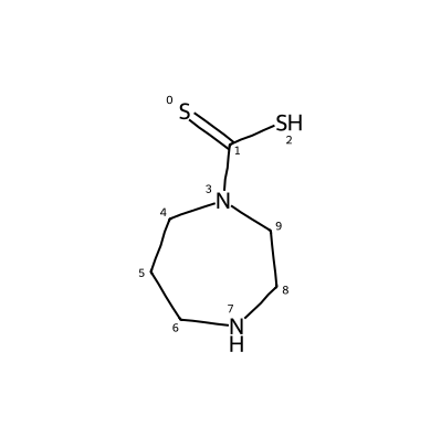 S=C(S)N1CCCNCC1